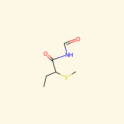 CCC(SC)C(=O)NC=O